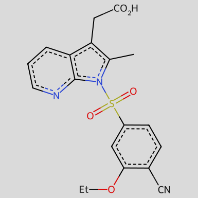 CCOc1cc(S(=O)(=O)n2c(C)c(CC(=O)O)c3cccnc32)ccc1C#N